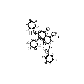 CN(Cc1cc(C(F)(F)F)c2c(=O)cc(Nc3ccccc3)n(-c3ccccc3)c2n1)c1ccccc1